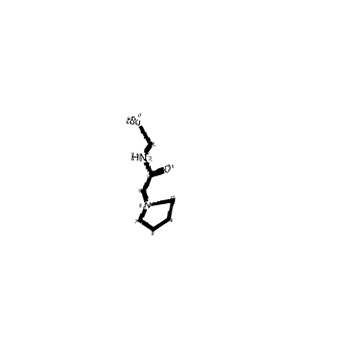 CC(C)(C)CNC(=O)CN1CCCC1